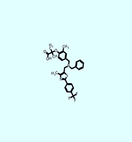 Cc1cc(CN(Cc2ccccc2)Cc2sc(-c3ccc(C(F)(F)F)cc3)nc2C)ccc1OC(C)(C)C(=O)O